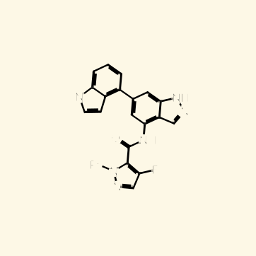 CC(C)n1ncc(F)c1C(=O)Nc1cc(-c2cccc3[nH]ccc23)cc2[nH]ncc12